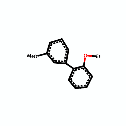 CCOc1ccccc1-c1[c]ccc(OC)c1